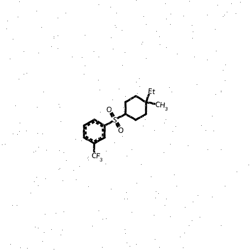 CCC1(C)CCC(S(=O)(=O)c2cccc(C(F)(F)F)c2)CC1